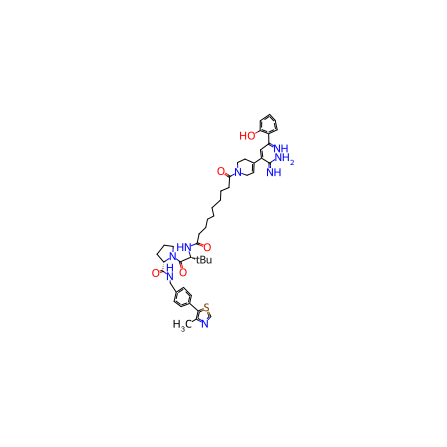 Cc1ncsc1-c1ccc(CNC(=O)[C@@H]2CCCN2C(=O)[C@@H](NC(=O)CCCCCCCCC(=O)N2CC=C(/C(=C/C(=N)c3ccccc3O)C(=N)N)CC2)C(C)(C)C)cc1